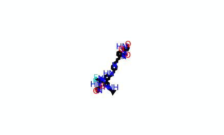 Cn1c(=O)n(C2CCC(=O)NC2=O)c2cccc(CCCCN3CCC(CNCC4CCC(n5cc(NC(=O)c6cocn6)c(C(F)F)n5)C(c5ccnc(NCC6CC6)c5)C4)CC3)c21